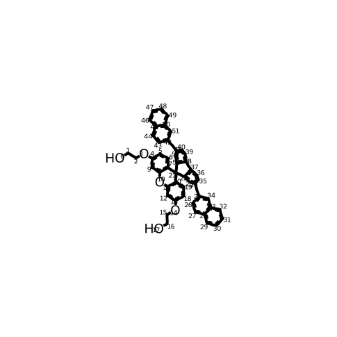 OCCOc1ccc2c(c1)Oc1cc(OCCO)ccc1C21c2cc(-c3ccc4ccccc4c3)ccc2-c2ccc(-c3ccc4ccccc4c3)cc21